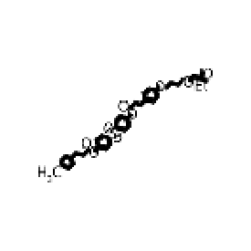 CCC1(COCCCCOc2ccc(CCC(=O)Oc3ccc(S(=O)(=O)c4ccc(OC(=O)CCc5ccc(C)cc5)cc4)cc3)cc2)COC1